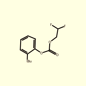 CC(C)(C)c1ccccc1OC(=O)OCC(F)F